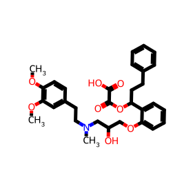 COc1ccc(CCN(C)CC(O)COc2ccccc2C(CCc2ccccc2)OC(=O)C(=O)O)cc1OC